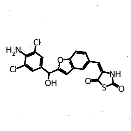 Nc1c(Cl)cc(C(O)c2cc3cc(C=C4NC(=O)SC4=O)ccc3o2)cc1Cl